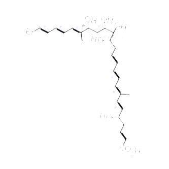 CC/C=C/C=C/C=C(\C)[C@H](O)C[C@H](O)[C@@](C)(O)[C@@H](O)C/C=C/C=C/C=C(C)/C=C/[C@@H](O)C/C=C/C(=O)O